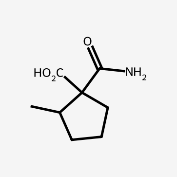 CC1CCCC1(C(N)=O)C(=O)O